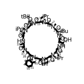 CC[C@H](C)[C@H]1C(=O)N(C)[C@@H](C)C(=O)N(C)[C@@H](CC(C)C)C(=O)N[C@@H](COC(C)(C)C)C(=O)N(C)[C@@H](CC(C)C)C(=O)NC(C)C(=O)N(C)[C@@H](C)C(=O)N(C)[C@@H](Cc2ccccc2)C(=O)N[C@@H](CC(C)C)C(=O)N(C)[C@@H](CC(C)C)C(=O)N[C@@H]([C@@H](C)O)C(=O)N1C